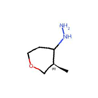 C[C@H]1COCCC1NN